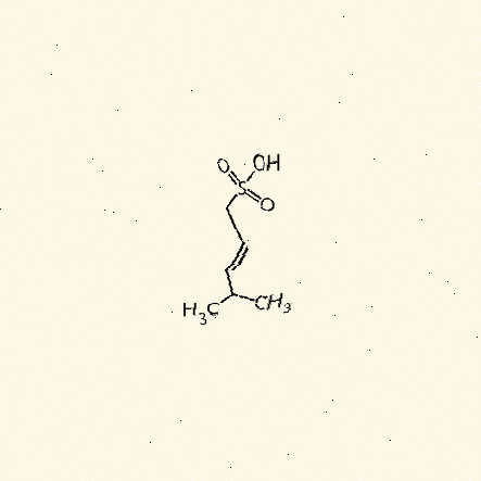 CC(C)C=CCS(=O)(=O)O